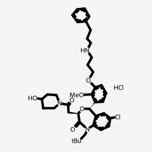 COc1c(OCCCNCCCc2ccccc2)cccc1[C@H]1O[C@H](CC(=O)N2CCC(O)CC2)C(=O)N(CC(C)(C)C)c2ccc(Cl)cc21.Cl